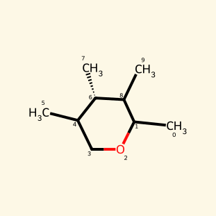 CC1OCC(C)[C@H](C)C1C